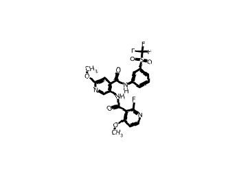 COc1cc(C(=O)Nc2cccc(S(=O)(=O)C(F)(F)F)c2)c(NC(=O)c2c(OC)ccnc2F)cn1